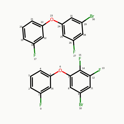 Fc1cccc(Oc2cc(Br)cc(F)c2F)c1.Fc1cccc(Oc2cc(F)cc(Br)c2)c1